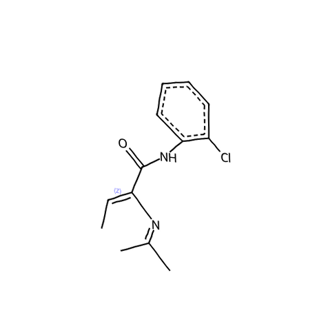 C/C=C(\N=C(C)C)C(=O)Nc1ccccc1Cl